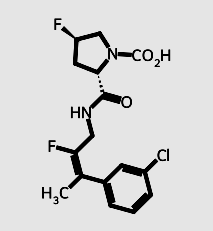 C/C(=C(\F)CNC(=O)[C@@H]1C[C@@H](F)CN1C(=O)O)c1cccc(Cl)c1